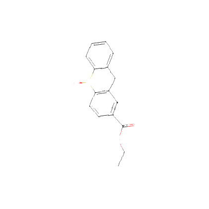 CCOC(=O)c1ccc2c(c1)Cc1ccccc1[S+]2[O-]